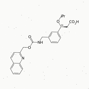 CC(C)O[C@@H](CC(=O)O)c1cccc(CNC(=O)OCc2ccc3ccccc3n2)c1